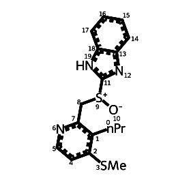 CCCc1c(SC)ccnc1C[S+]([O-])c1nc2ccccc2[nH]1